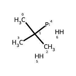 CC(C)(C)[P].[HH].[HH]